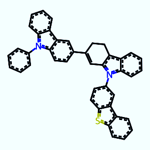 C1=C(c2ccc3c(c2)c2ccccc2n3-c2ccccc2)CCc2c1n(-c1ccc3sc4ccccc4c3c1)c1ccccc21